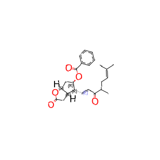 CC(C)=CCC(C)C(=O)/C=C/[C@@H]1[C@H]2CC(=O)O[C@H]2C[C@H]1OC(=O)c1ccccc1